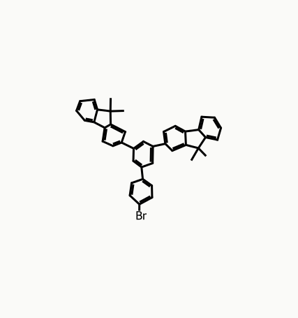 CC1(C)c2ccccc2-c2ccc(-c3cc(-c4ccc(Br)cc4)cc(-c4ccc5c(c4)C(C)(C)c4ccccc4-5)c3)cc21